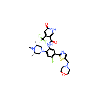 C[C@@H]1CN(c2cc(F)c(-c3ncc(CN4CCOCC4)s3)cc2NC(=O)c2c[nH]c(=O)cc2C(F)(F)F)C[C@H](C)N1C